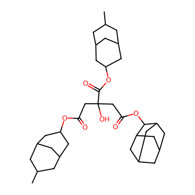 CC1CC2CC(C1)CC(OC(=O)CC(O)(CC(=O)OC1C3CC4CC(C3)CC1C4)C(=O)OC1CC3CC(C)CC(C3)C1)C2